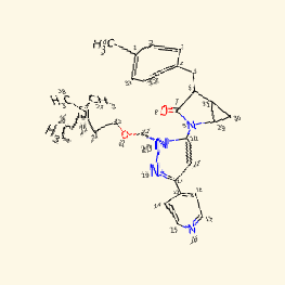 Cc1ccc(CC2C(=O)N(c3cc(-c4ccncc4)nn3COCC[Si](C)(C)C)C3CC23)cc1